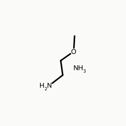 COCCN.N